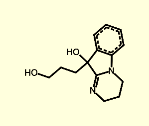 OCCCC1(O)C2=NCCCN2c2ccccc21